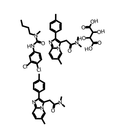 CCCCN(C)C(=O)Nc1ccc(Cl)c(Cl)c1.Cc1ccc(-c2nc3ccc(C)cn3c2CC(=O)N(C)C)cc1.Cc1ccc(-c2nc3ccc(C)cn3c2CC(=O)N(C)C)cc1.O=C(O)C(O)C(O)C(=O)O